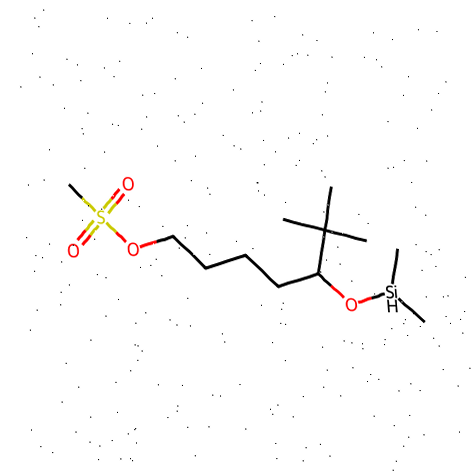 C[SiH](C)OC(CCCCOS(C)(=O)=O)C(C)(C)C